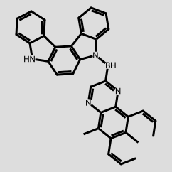 C/C=C\c1c(C)c(/C=C\C)c2nc(Bn3c4ccccc4c4c5c(ccc43)[nH]c3ccccc35)cnc2c1C